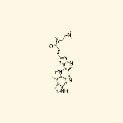 Cc1c(Nc2c(C#N)cnc3sc(C=CC(=O)N(C)CCN(C)C)cc23)ccc2[nH]ccc12